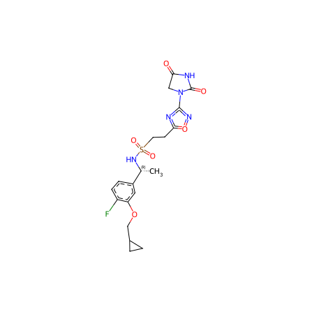 C[C@@H](NS(=O)(=O)CCc1nc(N2CC(=O)NC2=O)no1)c1ccc(F)c(OCC2CC2)c1